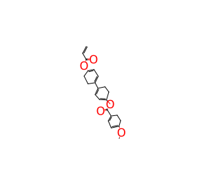 C=CC(=O)OC1=CC=C(C2=CC=C(OC(=O)C3=CC=C(OC)CC3)CC2)CC1